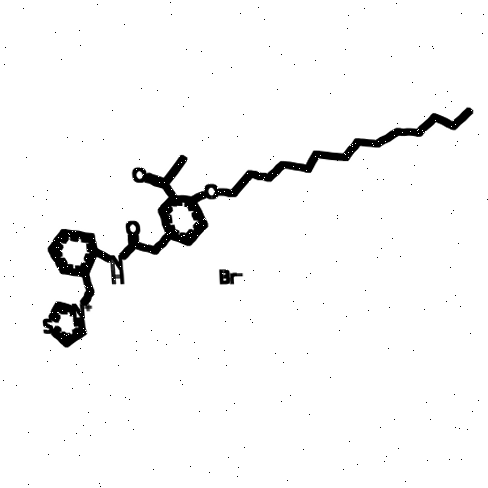 CCCCCCCCCCCCCCOc1ccc(CC(=O)Nc2ccccc2C[n+]2ccsc2)cc1C(C)=O.[Br-]